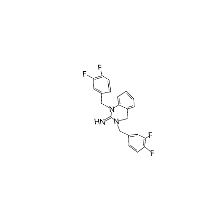 N=C1N(Cc2ccc(F)c(F)c2)Cc2ccccc2N1Cc1ccc(F)c(F)c1